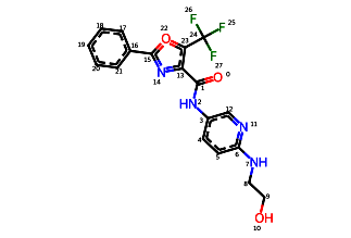 O=C(Nc1ccc(NCCO)nc1)c1nc(-c2ccccc2)oc1C(F)(F)F